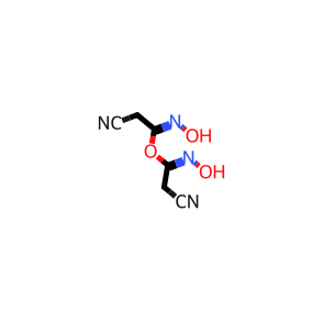 N#CCC(=NO)OC(CC#N)=NO